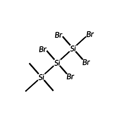 C[Si](C)(C)[Si](Br)(Br)[Si](Br)(Br)Br